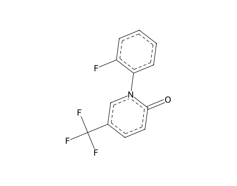 O=c1ccc(C(F)(F)F)cn1-c1ccccc1F